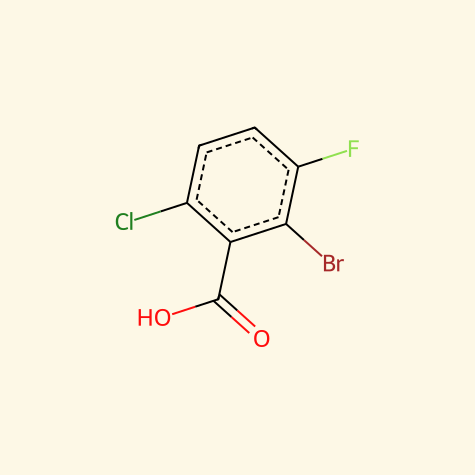 O=C(O)c1c(Cl)ccc(F)c1Br